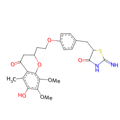 COc1c(O)c(C)c2c(c1OC)OC(CCOc1ccc(CC3SC(=N)NC3=O)cc1)CC2=O